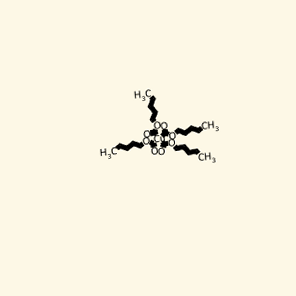 CCCCCO[C](=O)[Cu]([C](=O)OCCCCC)([C](=O)OCCCCC)[C](=O)OCCCCC